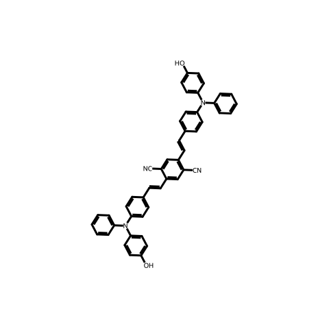 N#Cc1cc(C=Cc2ccc(N(c3ccccc3)c3ccc(O)cc3)cc2)c(C#N)cc1C=Cc1ccc(N(c2ccccc2)c2ccc(O)cc2)cc1